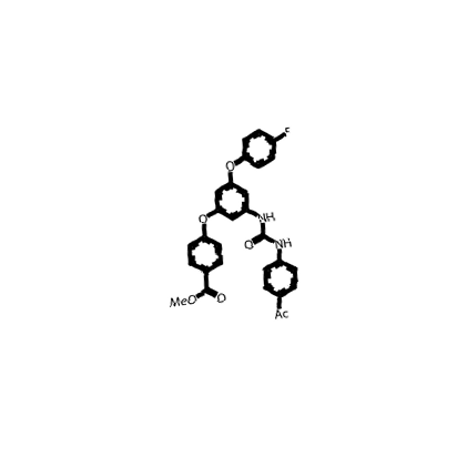 COC(=O)c1ccc(Oc2cc(NC(=O)Nc3ccc(C(C)=O)cc3)cc(Oc3ccc(F)cc3)c2)cc1